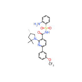 C[C@@H]1CN(c2nc(-c3cccc(OC(F)(F)F)c3)ccc2C(=O)NS(=O)(=O)c2ccccc2N)C(C)(C)C1